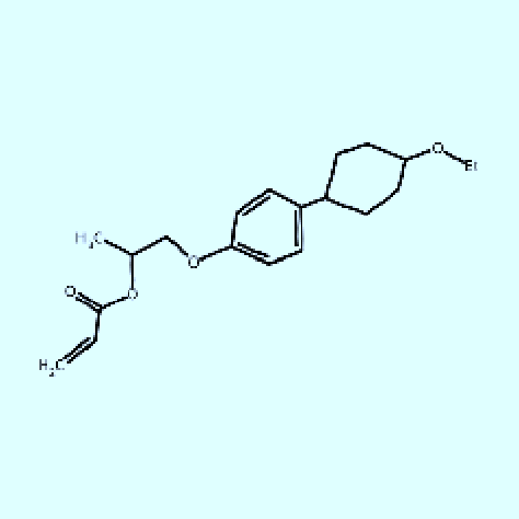 [CH2]COC1CCC(c2ccc(OCC(C)OC(=O)C=C)cc2)CC1